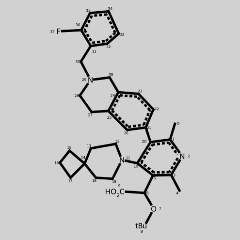 Cc1nc(C)c(C(OC(C)(C)C)C(=O)O)c(N2CCC3(CCC3)CC2)c1-c1ccc2c(c1)CCN(Cc1ccccc1F)C2